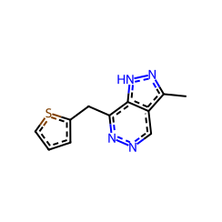 Cc1n[nH]c2c(Cc3cccs3)nncc12